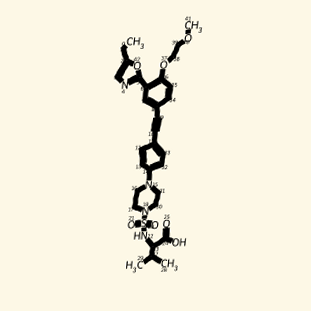 CCc1cnc(-c2cc(C#Cc3ccc(N4CCN(S(=O)(=O)NC(C(=O)O)C(C)C)CC4)cc3)ccc2OCCOC)o1